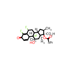 CCCC(=O)O[C@]1(C(=O)O)[C@H](C)C[C@H]2[C@@H]3C[C@H](F)C4=C(F)C(=O)C=C[C@]4(C)[C@@]3(F)[C@@H](O)C[C@@]21C